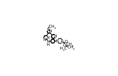 CCn1cc(-c2ccnc(Nc3ccc(N4CCCN(C(=O)OC(C)(C)C)CC4)cc3)n2)c(-c2cccnc2)n1